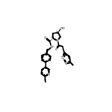 Cc1ccc(-c2ccc(CNC(=O)[C@@H]3C[C@@H](O)CN3C(=O)Cc3cc(C)no3)cc2)cn1